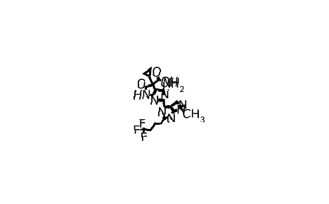 Cn1ncc2c(-c3nc(N)c4c(n3)NC(=O)C4(C(=O)O)C3CC3)nc(CCCC(F)(F)F)nc21